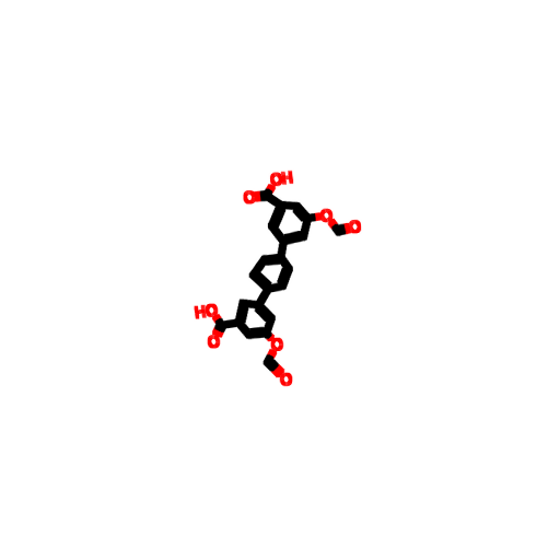 O=COc1cc(C(=O)O)cc(-c2ccc(-c3cc(OC=O)cc(C(=O)O)c3)cc2)c1